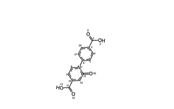 O=C(O)c1ccc(-n2ccc(C(=O)O)cc2=O)cc1